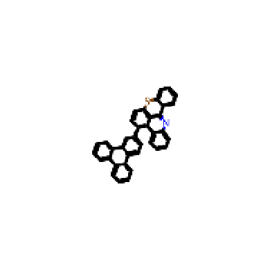 c1ccc2c(c1)Sc1ccc(-c3ccc4c5ccccc5c5ccccc5c4c3)c3c1c-2nc1ccccc13